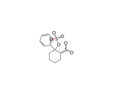 CCS(=O)(=O)OC1(c2ccccc2)CCCCC1=S(=O)=O